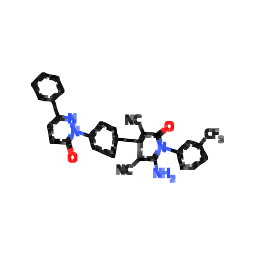 N#Cc1c(-c2ccc(-n3nc(-c4ccccc4)ccc3=O)cc2)c(C#N)c(=O)n(-c2cccc(C(F)(F)F)c2)c1N